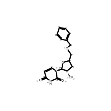 C[C@H]1CC(COCc2ccccc2)OC1n1ccc(=O)[nH]c1=O